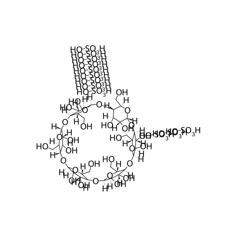 O=S(=O)(O)O.O=S(=O)(O)O.O=S(=O)(O)O.O=S(=O)(O)O.O=S(=O)(O)O.O=S(=O)(O)O.O=S(=O)(O)O.O=S(=O)(O)O.O=S(=O)(O)O.O=S(=O)(O)O.O=S(=O)(O)O.O=S(=O)(O)O.OC[C@H]1O[C@@H]2O[C@H]3[C@H](O)[C@@H](O)[C@@H](O[C@H]4[C@H](O)[C@@H](O)[C@@H](O[C@H]5[C@H](O)[C@@H](O)[C@@H](O[C@H]6[C@H](O)[C@@H](O)[C@@H](O[C@H]7[C@H](O)[C@@H](O)[C@@H](O[C@H]1[C@H](O)[C@H]2O)O[C@@H]7CO)O[C@@H]6CO)O[C@@H]5CO)O[C@@H]4CO)O[C@@H]3CO